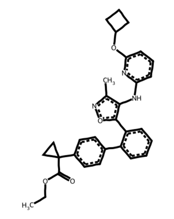 CCOC(=O)C1(c2ccc(-c3ccccc3-c3onc(C)c3Nc3cccc(OC4CCC4)n3)cc2)CC1